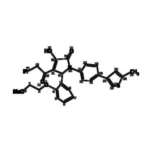 COCCOc1ccccc1C1C(C(=O)CC(C)C)=C(O)C(=O)N1c1ccc(-c2csc(C)c2)cc1